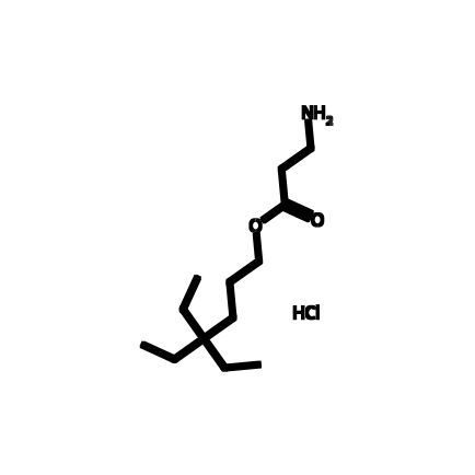 CCC(CC)(CC)CCCOC(=O)CCN.Cl